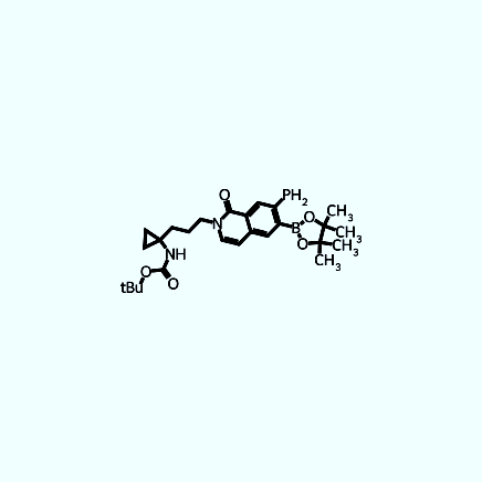 CC(C)(C)OC(=O)NC1(CCCn2ccc3cc(B4OC(C)(C)C(C)(C)O4)c(P)cc3c2=O)CC1